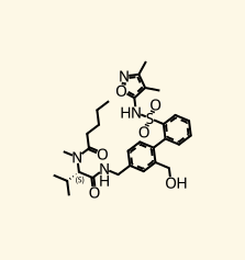 CCCCC(=O)N(C)[C@H](C(=O)NCc1ccc(-c2ccccc2S(=O)(=O)Nc2onc(C)c2C)c(CO)c1)C(C)C